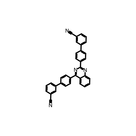 N#Cc1cccc(-c2ccc(-c3nc(-c4ccc(-c5cccc(C#N)c5)cc4)c4ccccc4n3)cc2)c1